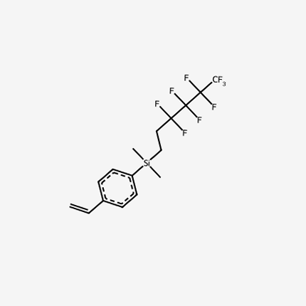 C=Cc1ccc([Si](C)(C)CCC(F)(F)C(F)(F)C(F)(F)C(F)(F)F)cc1